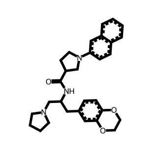 O=C(NC(Cc1ccc2c(c1)OCCO2)CN1CCCC1)C1CCN(c2ccc3ccccc3c2)C1